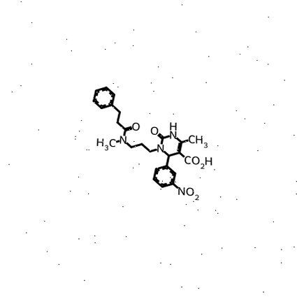 CC1=C(C(=O)O)C(c2cccc([N+](=O)[O-])c2)N(CCCN(C)C(=O)CCc2ccccc2)C(=O)N1